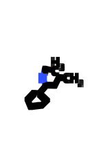 C=C/C=C(\N=C/C)c1ccccc1